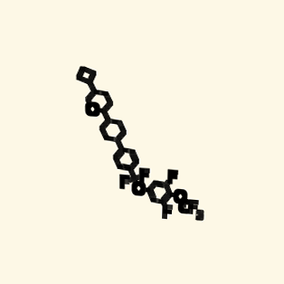 Fc1cc(OC(F)(F)c2ccc(C3CCC(C4CCC(C5CCC5)CO4)CC3)cc2)cc(F)c1OC(F)(F)F